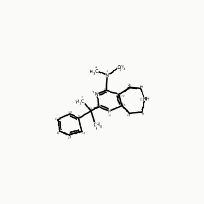 CN(C)c1nc(C(C)(C)c2ccccc2)nc2c1CCNCC2